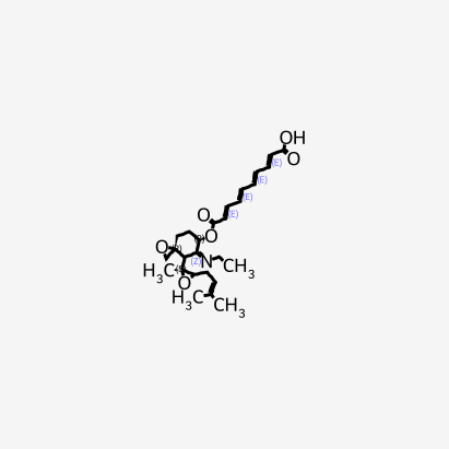 CC/N=C1/C([C@]2(C)OC2CC=C(C)C)[C@]2(CC[C@H]1OC(=O)/C=C/C=C/C=C/C=C/C(=O)O)CO2